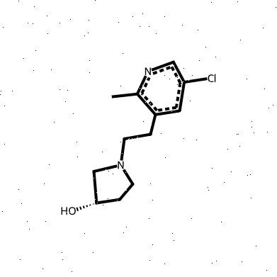 Cc1ncc(Cl)cc1CCN1CC[C@H](O)C1